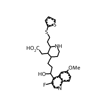 COc1ccc2ncc(F)c(C(O)CCC3CCNC(CCSc4cccs4)C3CC(=O)O)c2c1